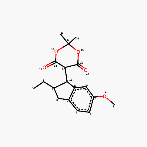 CCC1Cc2ccc(OC)cc2C1C1C(=O)OC(C)(C)OC1=O